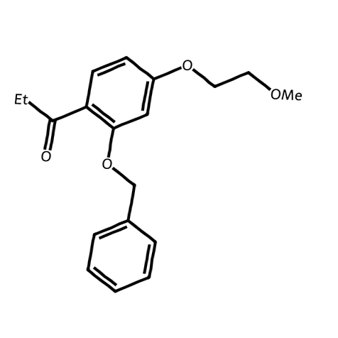 CCC(=O)c1ccc(OCCOC)cc1OCc1ccccc1